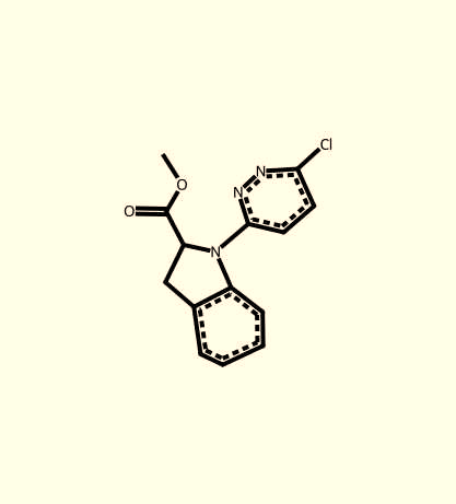 COC(=O)C1Cc2ccccc2N1c1ccc(Cl)nn1